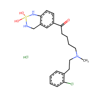 CN(CCCCC(=O)c1ccc2c(c1)CNS(O)(O)N2)CCc1ccccc1Cl.Cl